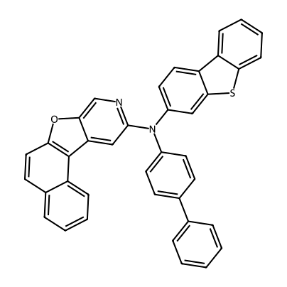 c1ccc(-c2ccc(N(c3ccc4c(c3)sc3ccccc34)c3cc4c(cn3)oc3ccc5ccccc5c34)cc2)cc1